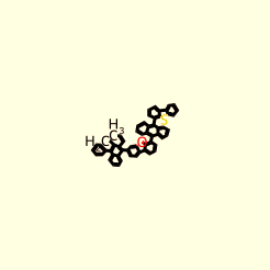 C=Cc1c(/C=C\C)c(-c2ccc3c(c2)oc2c(-c4c5ccccc5c(-c5cccc6c5sc5ccccc56)c5ccccc45)cccc23)c2ccccc2c1-c1ccccc1